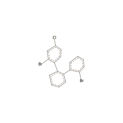 Clc1ccc(-c2ccccc2-c2ccccc2Br)c(Br)c1